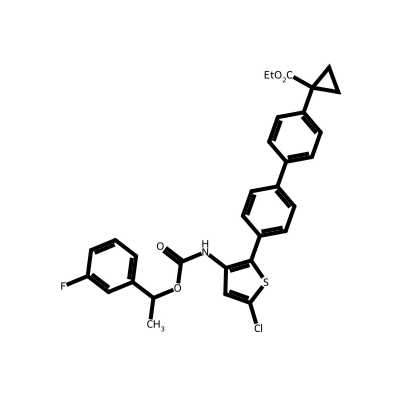 CCOC(=O)C1(c2ccc(-c3ccc(-c4sc(Cl)cc4NC(=O)OC(C)c4cccc(F)c4)cc3)cc2)CC1